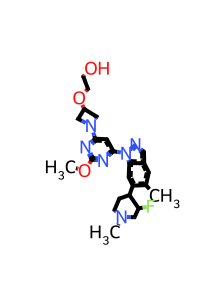 COc1nc(N2CC(OCCO)C2)cc(-n2ncc3cc(C)c(C4CCN(C)CC4F)cc32)n1